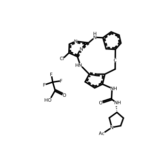 CC(=O)N1CC[C@@H](NC(=O)Nc2ccc3cc2CCc2cccc(c2)Nc2ncc(Cl)c(n2)N3)C1.O=C(O)C(F)(F)F